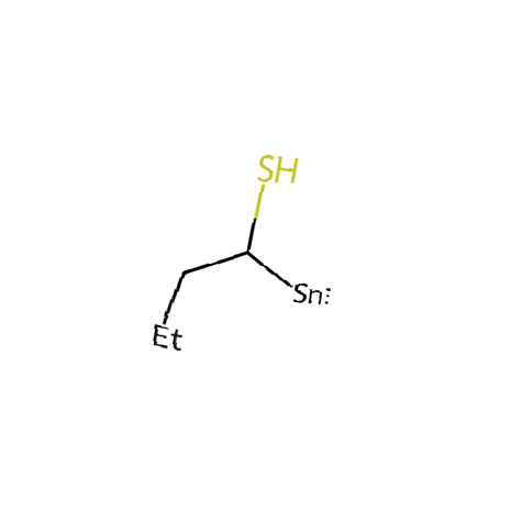 CCC[CH](S)[Sn]